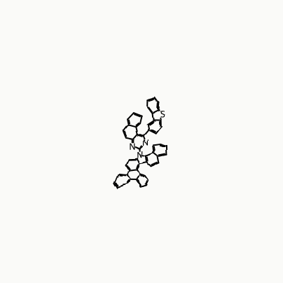 c1ccc2c(c1)ccc1nc(-n3c4ccc5c6ccccc6c6ccccc6c5c4c4ccc5ccccc5c43)nc(-c3ccc4sc5ccccc5c4c3)c12